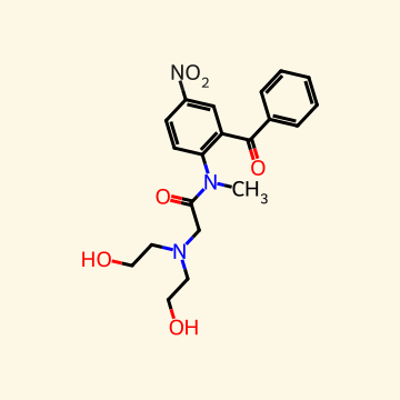 CN(C(=O)CN(CCO)CCO)c1ccc([N+](=O)[O-])cc1C(=O)c1ccccc1